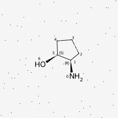 N[C@@H]1CCC[C@@H]1O